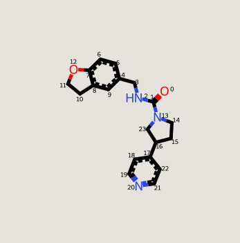 O=C(NCc1ccc2c(c1)CCO2)N1CCC(c2ccncc2)C1